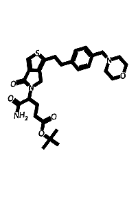 CC(C)(C)OC(=O)CCC(C(N)=O)N1Cc2c(csc2CCc2ccc(CN3CCOCC3)cc2)C1=O